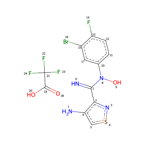 N=C(c1nscc1N)N(O)c1ccc(F)c(Br)c1.O=C(O)C(F)(F)F